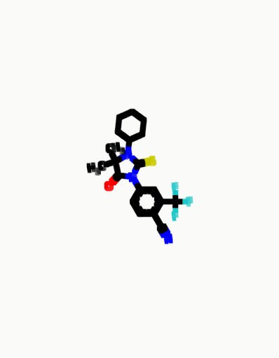 CC1(C)C(=O)N(c2ccc(C#N)c(C(F)(F)F)c2)C(=S)N1C1CCCCC1